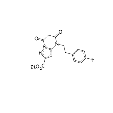 CCOC(=O)c1cc2n(n1)C(=O)CC(=O)N2CCc1ccc(F)cc1